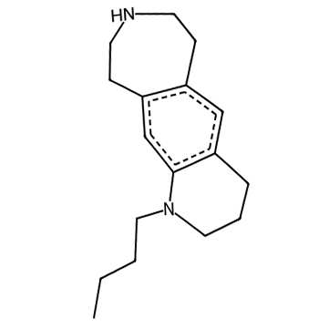 CCCCN1CCCc2cc3c(cc21)CCNCC3